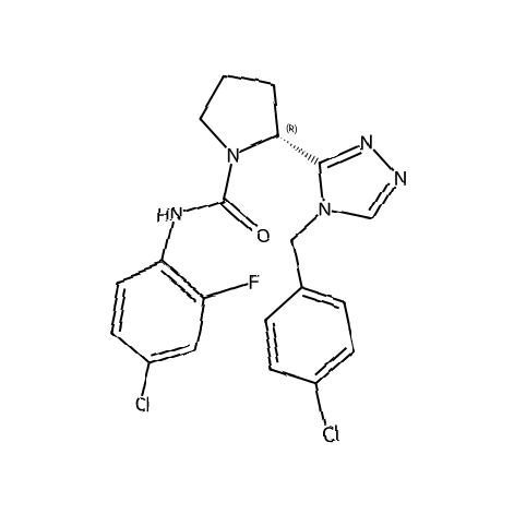 O=C(Nc1ccc(Cl)cc1F)N1CCC[C@@H]1c1nncn1Cc1ccc(Cl)cc1